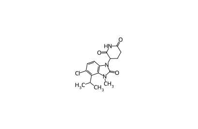 CC(C)c1c(Cl)ccc2c1n(C)c(=O)n2C1CCC(=O)NC1=O